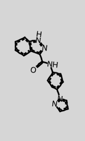 O=C(Nc1ccc(-n2cccn2)cc1)c1n[nH]c2ccccc12